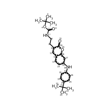 CC(C)(C)OC(=O)NCCc1cc2ccc(Nc3ccc(C(C)(C)C)cc3)cc2oc1=O